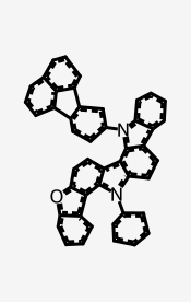 c1ccc(-n2c3ccc4c5ccccc5n(-c5ccc6c(c5)-c5cccc7cccc-6c57)c4c3c3ccc4oc5ccccc5c4c32)cc1